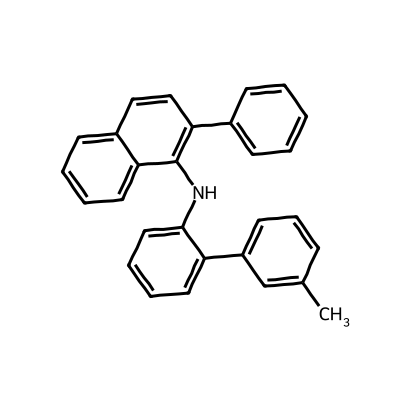 Cc1cccc(-c2ccccc2Nc2c(-c3ccccc3)ccc3ccccc23)c1